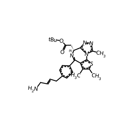 Cc1sc2c(c1C)C(c1ccc(CC=CCN)cc1)=N[C@H](CC(=O)OC(C)(C)C)c1nnc(C)n1-2